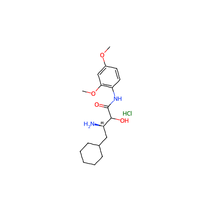 COc1ccc(NC(=O)C(O)[C@H](N)CC2CCCCC2)c(OC)c1.Cl